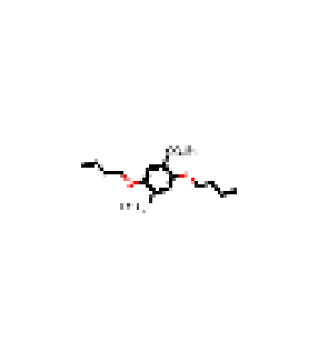 C=CCCOc1cc(C(=O)OCC)c(OCCC=C)cc1C(=O)OCC